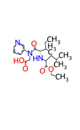 CCOC(=O)C(CC(C)C)N[C@H](C(=O)N(CC(=O)O)c1cccnc1)C(C)CC